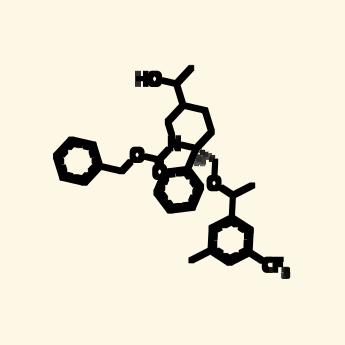 Cc1cc(C(C)OC[C@@]2(c3ccccc3)CCC(C(C)O)CN2C(=O)OCc2ccccc2)cc(C(F)(F)F)c1